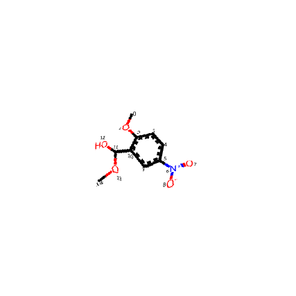 COc1ccc([N+](=O)[O-])cc1C(O)OC